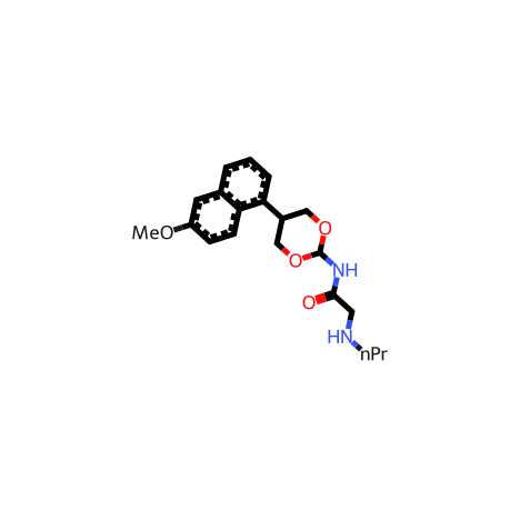 CCCNCC(=O)NC1OCC(c2cccc3cc(OC)ccc23)CO1